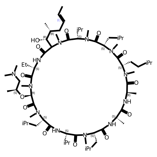 C/C=C/C[C@@H](C)[C@@H](O)C1C(=O)N[C@@H](CC)C(=O)N(C)[C@H](O[C@@H](C)CN(C)C)C(=O)N(C)[C@@H](CC(C)C)C(=O)N[C@@H](C(C)C)C(=O)N(C)[C@@H](CC(C)C)C(=O)N[C@@H](C)C(=O)N[C@H](C)C(=O)N(C)[C@@H](CCC(C)C)C(=O)N(C)[C@@H](CC(C)C)C(=O)N(C)[C@@H](C(C)C)C(=O)N1C